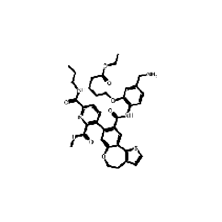 CCCNC(=O)c1ccc(-c2cc3c(cc2C(=O)Nc2ccc(CN)cc2OCCCCC(=O)OCC)-c2sccc2CCO3)c(C(=O)OC)n1